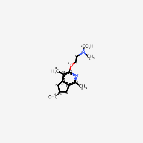 Cc1nc(OCCN(C)C(=O)O)c(C)c2c1CC(C=O)C2